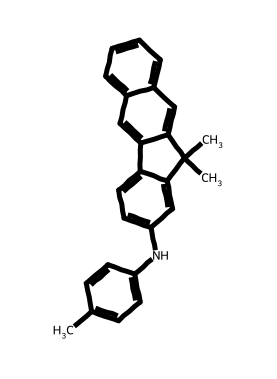 Cc1ccc(Nc2ccc3c(c2)C(C)(C)c2cc4ccccc4cc2-3)cc1